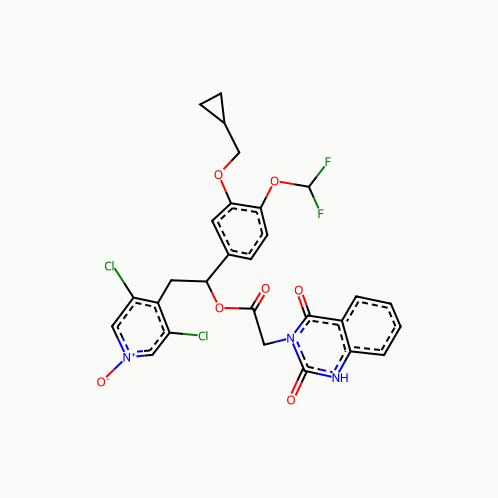 O=C(Cn1c(=O)[nH]c2ccccc2c1=O)OC(Cc1c(Cl)c[n+]([O-])cc1Cl)c1ccc(OC(F)F)c(OCC2CC2)c1